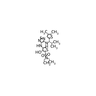 CCN(CC)S(=O)(=O)c1scc(Nc2nsnc2N[C@@H](c2cc(C)c(C)s2)C(C)C)c1O